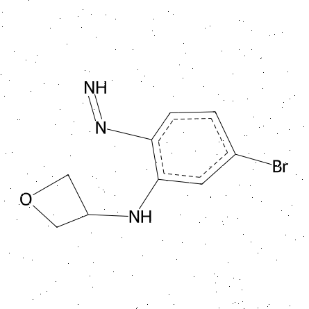 N=Nc1ccc(Br)cc1NC1COC1